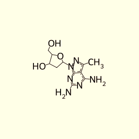 Cc1nn(C2CC(O)C(CO)O2)c2nc(N)nc(N)c12